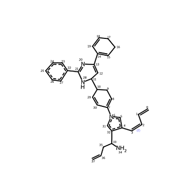 C=C/C=C\c1cn(C2=CCC(C3C=C(C4=CCCC=C4)N=C(c4ccccc4)N3)C=C2)cc1C(N)CC=C